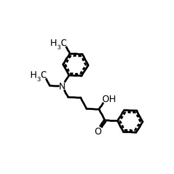 CCN(CCCC(O)C(=O)c1ccccc1)c1cccc(C)c1